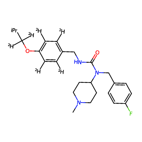 [2H]c1c([2H])c(OC([2H])([2H])C(C)C)c([2H])c([2H])c1CNC(=O)N(Cc1ccc(F)cc1)C1CCN(C)CC1